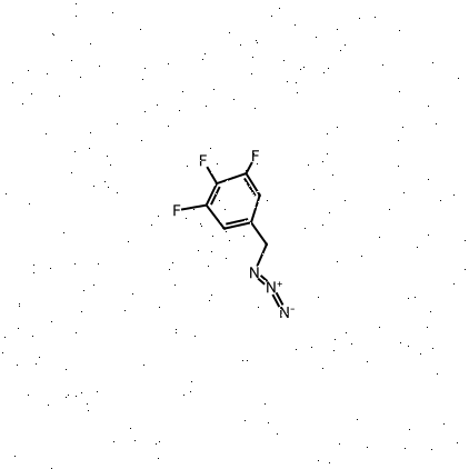 [N-]=[N+]=NCc1cc(F)c(F)c(F)c1